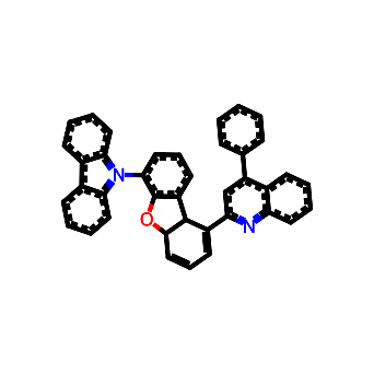 C1=CC2Oc3c(cccc3-n3c4ccccc4c4ccccc43)C2C(c2cc(-c3ccccc3)c3ccccc3n2)=C1